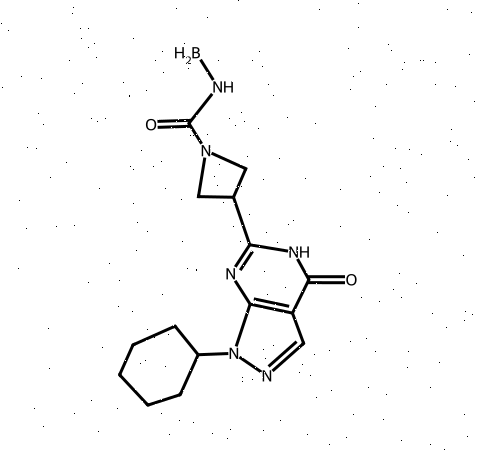 BNC(=O)N1CC(c2nc3c(cnn3C3CCCCC3)c(=O)[nH]2)C1